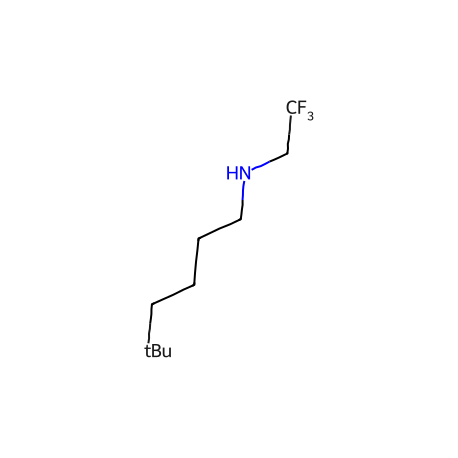 CC(C)(C)CCCCNCC(F)(F)F